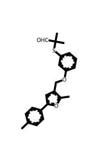 Cc1ccc(-c2cc(COc3cccc(SC(C)(C)C=O)c3)c(C)o2)cc1